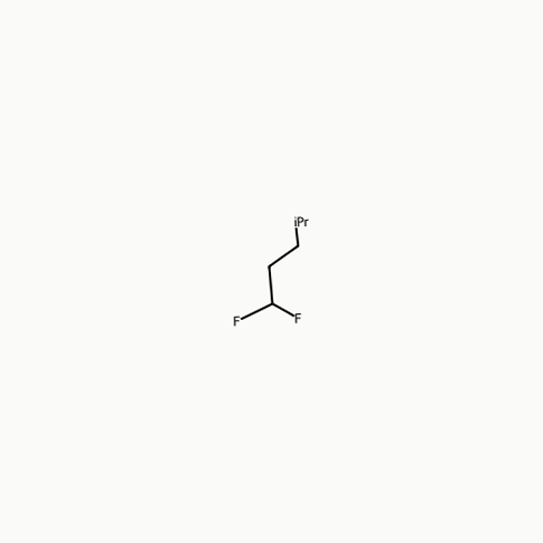 CC(C)CCC(F)F